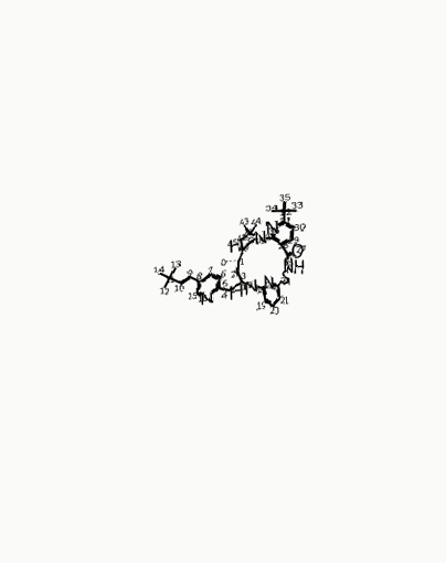 C[C@H]1CC(Cc2ccc(/C=C/C(C)(C)C)cn2)Nc2cccc(n2)SNC(=O)c2ccc(C(C)(C)C)nc2N2C[C@@H]1CC2(C)C